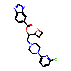 O=C(OC(CN1CCN(c2cccc(Cl)n2)CC1)C1CCO1)c1ccc2nc[nH]c2c1